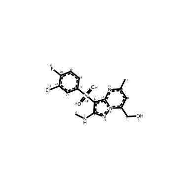 CNc1nn2c(CO)cc(C)nc2c1S(=O)(=O)c1ccc(F)c(Cl)c1